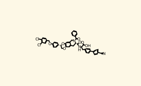 N#Cc1ccc(-c2ccc(CC(NC(=O)[C@@H]3Cc4cc5c(cc4CN3C(=O)c3ccccc3)O[C@@H](c3ccc(OCc4ccc(Cl)c(Cl)c4)cc3)CO5)C(=O)O)cc2)cc1